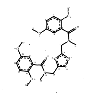 COc1ccc(OC)c(C(=S)N(C)Cc2nnc(CN(C)C(=S)c3cc(OC)ccc3OC)o2)c1